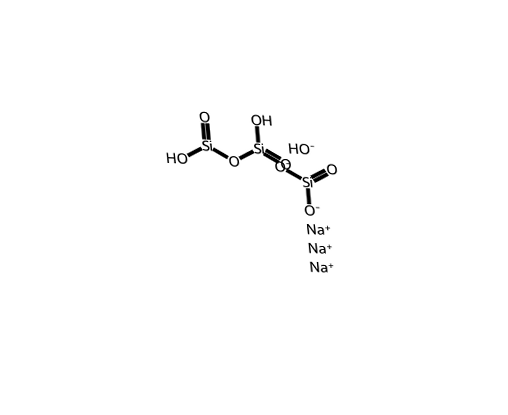 O=[Si](O)O[Si](=O)O.O=[Si]([O-])[O-].[Na+].[Na+].[Na+].[OH-]